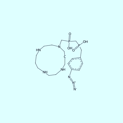 [N-]=[N+]=Nc1ccc(CP(=O)(O)CP(=O)(O)CN2CCCNCCNCCCNCC2)cc1